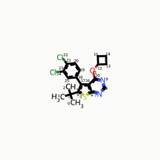 CC(C)(C)c1sc2ncnc(OC3CCC3)c2c1-c1ccc(Cl)c(Cl)c1